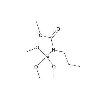 CCCN(C(=O)OC)[Si](OC)(OC)OC